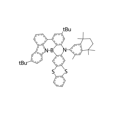 Cc1cc2c(cc1N1c3cc4c(cc3B3c5c(cc(C(C)(C)C)cc51)-c1cccc5c6cc(C(C)(C)C)ccc6n3c15)Sc1ccccc1S4)C(C)(C)CCC2(C)C